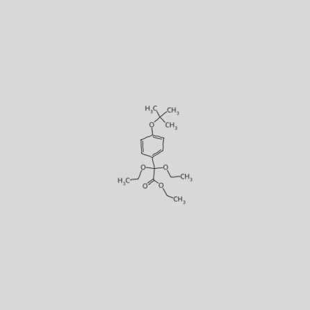 CCOC(=O)C(OCC)(OCC)c1ccc(OC(C)(C)C)cc1